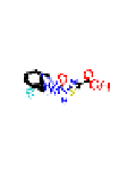 O=C(NCc1cccc(F)c1)Nc1nc(C(=O)O)cs1